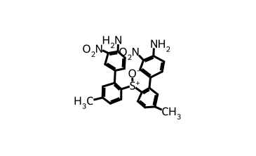 Cc1ccc([S+]([O-])c2ccc(C)cc2-c2ccc(N)c([N+](=O)[O-])c2)c(-c2ccc(N)c([N+](=O)[O-])c2)c1